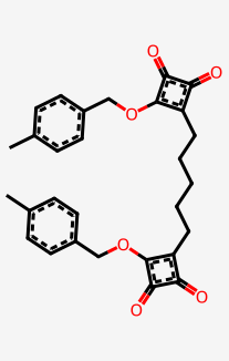 Cc1ccc(COc2c(CCCCCc3c(OCc4ccc(C)cc4)c(=O)c3=O)c(=O)c2=O)cc1